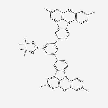 Cc1ccc2c(c1)Oc1cc(C)cc3c4cc(-c5cc(B6OC(C)(C)C(C)(C)O6)cc(-c6ccc7c(c6)c6cc(C)cc8c6n7-c6ccc(C)cc6O8)c5)ccc4n-2c13